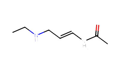 CCNCC=C[SiH2]C(C)=O